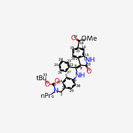 CCCN(Cc1ccc(N/C(=C2\C(=O)Nc3cc(C(=O)OC)ccc32)c2ccccc2)cc1)C(=O)OC(C)(C)C